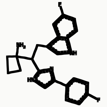 NC1(C(Cc2c[nH]c3ccc(F)cc23)c2nc(-c3ccc(F)cc3)c[nH]2)CCC1